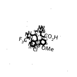 COc1cccc([C@H]2C[C@H](Cn3nnnc3CCC(=O)O)c3nnc(C(F)(F)F)n3-c3ccc(Cl)cc32)c1OC